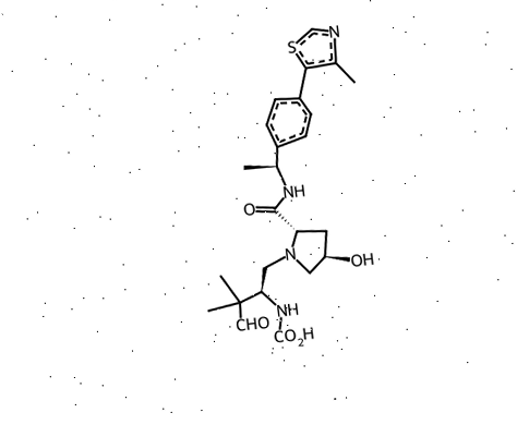 Cc1ncsc1-c1ccc([C@H](C)NC(=O)[C@@H]2C[C@@H](O)CN2C[C@@H](NC(=O)O)C(C)(C)C=O)cc1